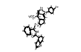 C[C@H]1C2=CNN(c3ccc(F)cc3)C2=CC2=C1[C@@H](CC(NC(=O)c1cccc3[nH]ccc13)c1ccccc1)CC2